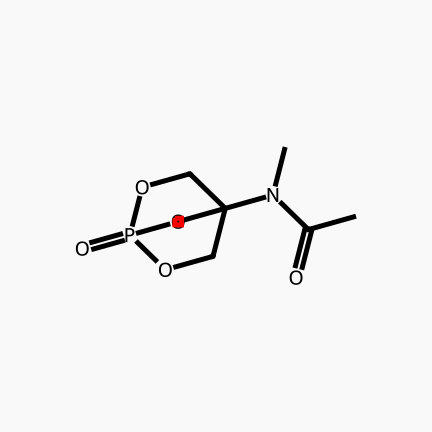 CC(=O)N(C)C12COP(=O)(OC1)OC2